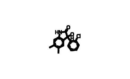 Cc1cc2c(cc1C)C(O)(c1ccccc1Cl)C(=O)N2